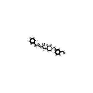 O=C(CN1CCN(Cc2cccc(CF)c2)CC1)NOCc1ccccc1